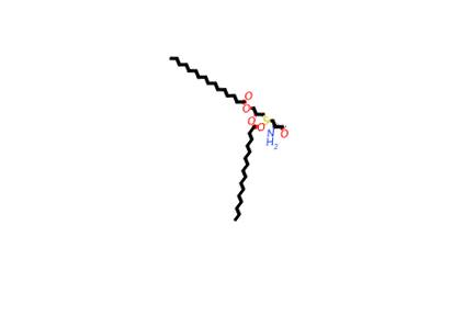 CCCCCCCCCCCCCCCC(=O)OCC(CSC[C@H](N)[C]=O)OC(=O)CCCCCCCCCCCCCCC